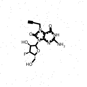 C#CCn1c(=O)n(C2O[C@H](CO)[C@@H](F)[C@H]2O)c2nc(N)[nH]c(=O)c21